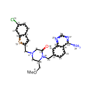 COC[C@H]1CN(Cc2cc3ccc(Cl)cc3s2)CC(=O)N1Cc1ccc2c(N)ncnc2c1